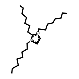 CCCCCCCCn1cc[n+](CCCCCCCC)c1CCCCCCC